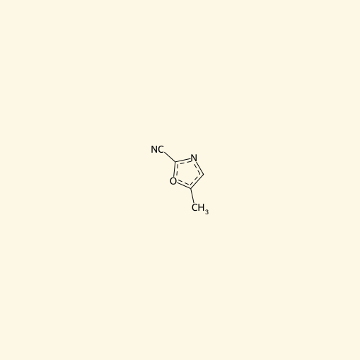 Cc1cnc(C#N)o1